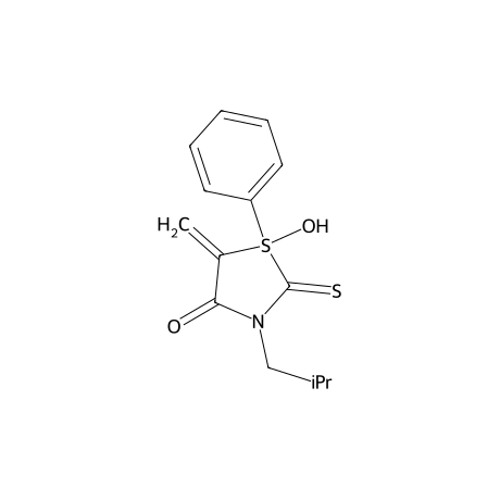 C=C1C(=O)N(CC(C)C)C(=S)S1(O)c1ccccc1